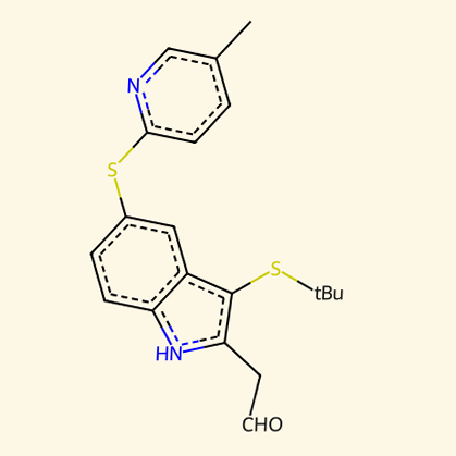 Cc1ccc(Sc2ccc3[nH]c(CC=O)c(SC(C)(C)C)c3c2)nc1